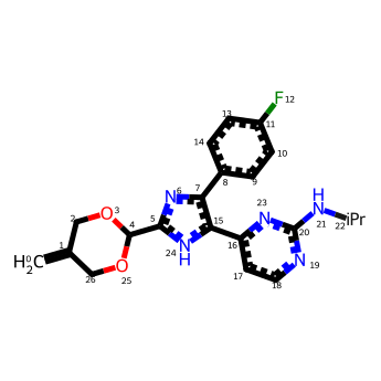 C=C1COC(c2nc(-c3ccc(F)cc3)c(-c3ccnc(NC(C)C)n3)[nH]2)OC1